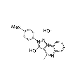 CSc1ccc(-n2n[n+]3c(c(C)nc4ccccc43)c2O)cc1.[OH-]